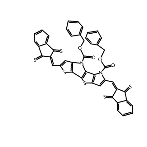 O=C(OCc1ccccc1)n1c(C=C2C(=S)c3ccccc3C2=S)cc2sc3c4sc(C=C5C(=S)c6ccccc6C5=S)cc4n(C(=O)OCc4ccccc4)c3c21